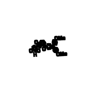 COc1ccc(C(c2ccc(OC)cc2)N2CCN(C(=O)c3cccc4c3CN(C3CCC(=O)NC3=O)C4=O)CC2)cc1